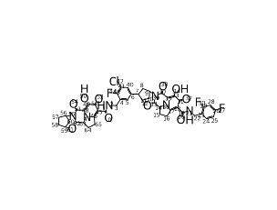 O=C(NCc1cc(C2CC3CC2OC2C4CCc5c(C(=O)NCc6ccc(F)cc6F)c(=O)c(O)c(n54)C(=O)N32)cc(Cl)c1F)c1c2n3c(c(O)c1=O)C(=O)N1C4CCC(C4)OC1C3CC2